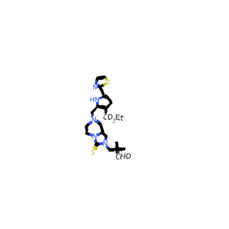 CCOC(=O)C1=C(CN2CCN3C(=S)N(CC(C)(C)C=O)CC3C2)NC(c2nccs2)=CC1